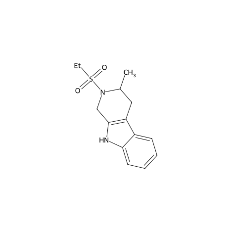 CCS(=O)(=O)N1Cc2[nH]c3ccccc3c2CC1C